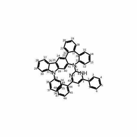 C1=C(c2ccccc2)NC(N2c3ccccc3-c3ccccc3-c3cc4c5ccccc5n(-c5ccccc5)c4cc32)N=C1c1ccccc1